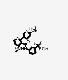 CNc1ccnc(-c2ccc(OC)nc2)c1C(=O)Nc1cccc(C(F)(F)F)c1.Cl.Cl